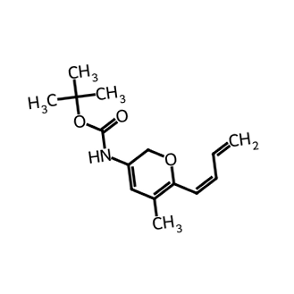 C=C/C=C\C1=C(C)C=C(NC(=O)OC(C)(C)C)CO1